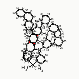 CC1(C)c2ccccc2-c2c(N(c3cccc(N(c4cccc5oc6ccccc6c45)c4cccc5sc6ccccc6c45)c3-c3ccc4sc5cc6c(ccc7ccccc76)cc5c4c3)c3cccc4ccccc34)cccc21